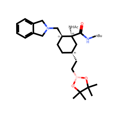 CCCCNC(=O)[C@@]1(NC(C)=O)C[C@H](CCB2OC(C)(C)C(C)(C)O2)CC[C@H]1CN1Cc2ccccc2C1